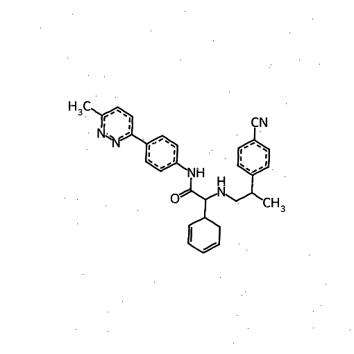 Cc1ccc(-c2ccc(NC(=O)C(NCC(C)c3ccc(C#N)cc3)C3C=CC=CC3)cc2)nn1